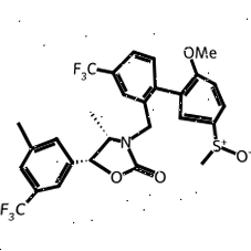 COc1ccc([S+](C)[O-])cc1-c1ccc(C(F)(F)F)cc1CN1C(=O)O[C@H](c2cc(C)cc(C(F)(F)F)c2)[C@@H]1C